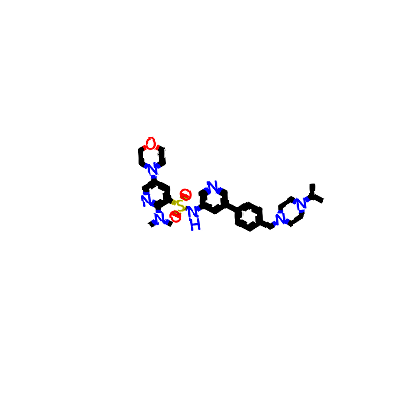 CC(C)N1CCN(Cc2ccc(-c3cncc(NS(=O)(=O)c4cc(N5CCOCC5)cnc4N(C)C)c3)cc2)CC1